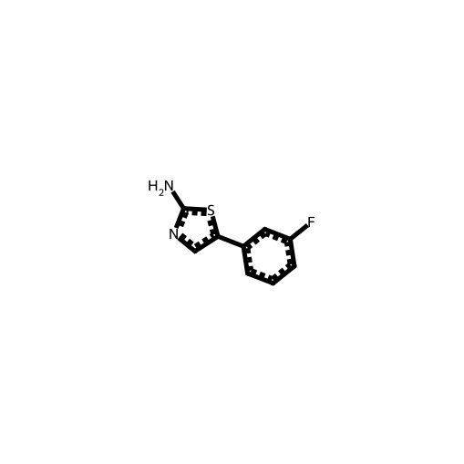 Nc1ncc(-c2cccc(F)c2)s1